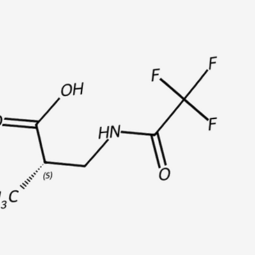 C[C@@H](CNC(=O)C(F)(F)F)C(=O)O